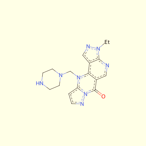 CCn1ncc2c1ncc1c(=O)n3nccc3n(CN3CCNCC3)c12